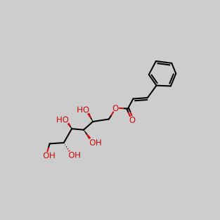 O=C(C=Cc1ccccc1)OC[C@H](O)[C@@H](O)[C@H](O)[C@H](O)CO